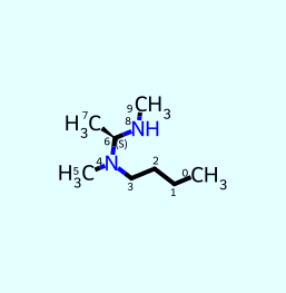 CCCCN(C)[C@@H](C)NC